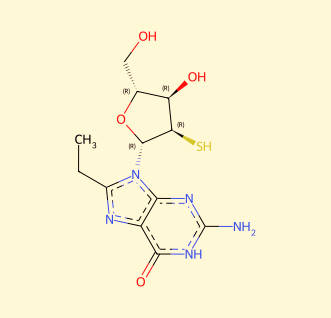 CCc1nc2c(=O)[nH]c(N)nc2n1[C@@H]1O[C@H](CO)[C@@H](O)[C@H]1S